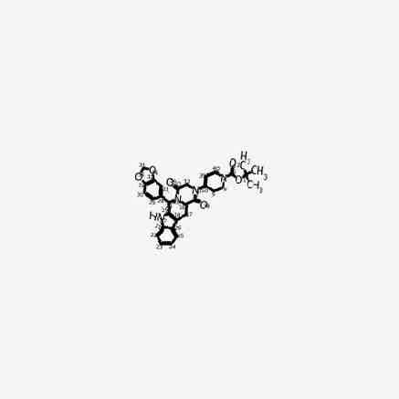 CC(C)(C)OC(=O)N1CCC(N2CC(=O)N3C(Cc4c([nH]c5ccccc45)C3c3ccc4c(c3)OCO4)C2=O)CC1